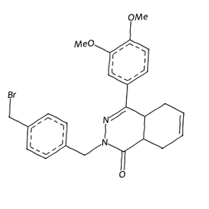 COc1ccc(C2=NN(Cc3ccc(CBr)cc3)C(=O)C3CC=CCC23)cc1OC